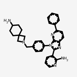 Nc1ncccc1-c1nc2ccc(-c3ccccc3)nc2n1-c1ccc(CN2CC3(CCC(N)CC3)C2)cc1